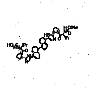 COC(=O)NC(C(=O)N1CCC[C@H]1c1ncc(-c2cccc3c(-c4cccc5c(-c6cnc([C@@H]7CCCN7C(=O)[C@@H](NC(=O)O)C(C)C)[nH]6)cccc45)cccc23)[nH]1)C(C)C